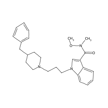 CON(C)C(=O)c1cn(CCCN2CCC(Cc3ccccc3)CC2)c2ccccc12